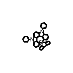 c1ccc(-n2c3cccc4c3c3c5c6c(cccc6n(-c6ccccc6)c5ccc32)[Si]42c3ccccc3-c3ccccc32)cc1